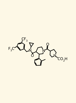 Cc1ccccc1C1CN(C(=O)C2CCN(C(=O)O)CC2)CCC1C(=O)N(Cc1cc(C(F)(F)F)cc(C(F)(F)F)c1)C1CC1